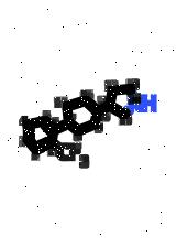 FC(F)(F)c1ccccc1C1CCC([C]2CCNC2)CC1